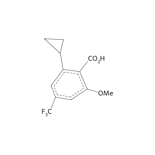 COc1cc(C(F)(F)F)cc(C2CC2)c1C(=O)O